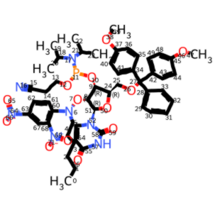 CCCCCCN(O[C@@H]1[C@H](OP(OCCC#N)N(C(C)C)C(C)C)[C@@H](COC(c2ccccc2)(c2ccc(OC)cc2)c2ccc(OC)cc2)O[C@H]1n1ccc(=O)[nH]c1=O)c1ccc([N+](=O)[O-])cc1[N+](=O)[O-]